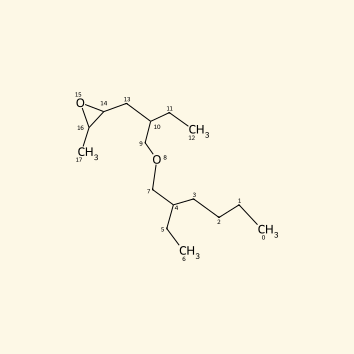 CCCCC(CC)COCC(CC)CC1OC1C